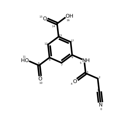 N#CCC(=O)Nc1cc(C(=O)O)cc(C(=O)O)c1